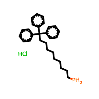 Cl.PCCCCCCCCCC(c1ccccc1)(c1ccccc1)c1ccccc1